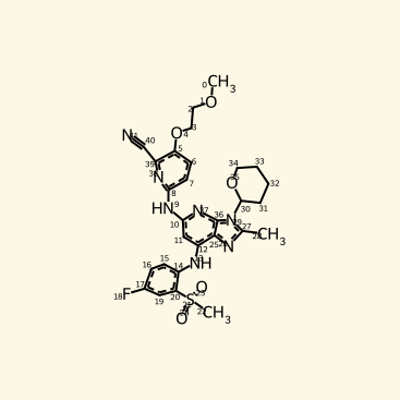 COCCOc1ccc(Nc2cc(Nc3ccc(F)cc3S(C)(=O)=O)c3nc(C)n(C4CCCCO4)c3n2)nc1C#N